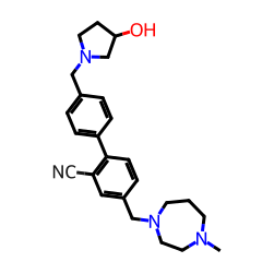 CN1CCCN(Cc2ccc(-c3ccc(CN4CCC(O)C4)cc3)c(C#N)c2)CC1